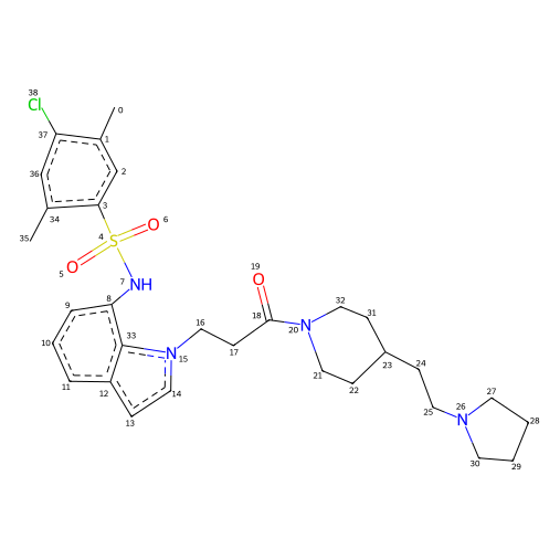 Cc1cc(S(=O)(=O)Nc2cccc3ccn(CCC(=O)N4CCC(CCN5CCCC5)CC4)c23)c(C)cc1Cl